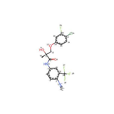 [C-]#[N+]c1ccc(NC(=O)[C@](C)(O)COc2ccc(Cl)c(F)c2)cc1C(F)(F)F